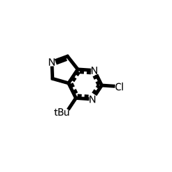 CC(C)(C)c1nc(Cl)nc2c1CN=C2